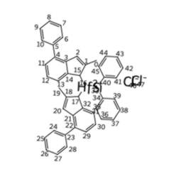 CC1=Cc2c(-c3ccccc3)cccc2[CH]1[Hf+2]([CH]1C(C)=Cc2c(-c3ccccc3)cccc21)=[Si](c1ccccc1)c1ccccc1.[Cl-].[Cl-]